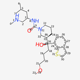 CNCC(CC(C)C)NC(=O)N1CCC[C@@H]([C@@](O)(CCCCOC)c2cccc3ccsc23)C1